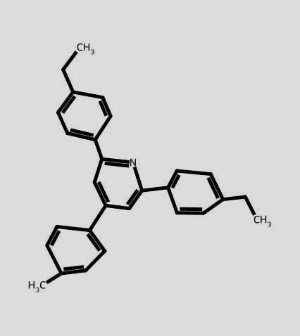 CCc1ccc(-c2cc(-c3ccc(C)cc3)cc(-c3ccc(CC)cc3)n2)cc1